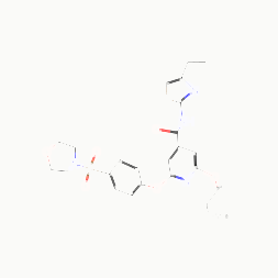 CCOC(=O)Cc1csc(NC(=O)c2cc(Oc3ccc(S(=O)(=O)N4CCOCC4)cc3)nc(O[C@H](C)COC)c2)n1